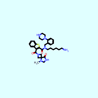 CN1CNC(=O)C12CN(C(=O)c1c(C(=O)N(CCCCCCN)Cc3ccccc3N3CCNCC3)sc3ccccc13)C2